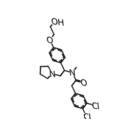 CN(C(=O)Cc1ccc(Cl)c(Cl)c1)C(CN1CCCC1)c1ccc(OCCO)cc1